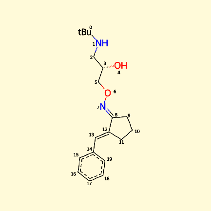 CC(C)(C)NC[C@H](O)CO/N=C1\CCC\C1=C/c1ccccc1